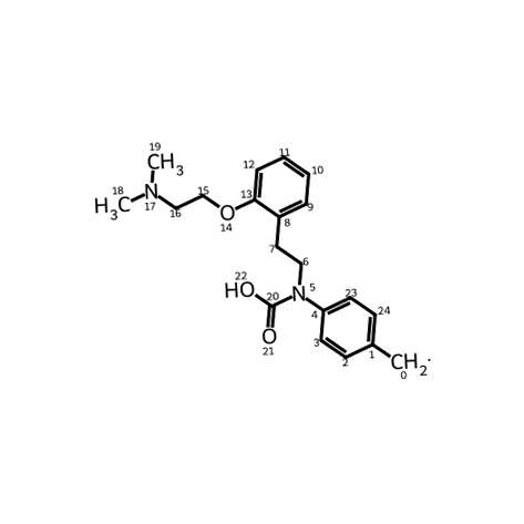 [CH2]c1ccc(N(CCc2ccccc2OCCN(C)C)C(=O)O)cc1